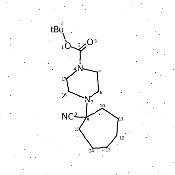 CC(C)(C)OC(=O)N1CCN(C2(C#N)CCCCCC2)CC1